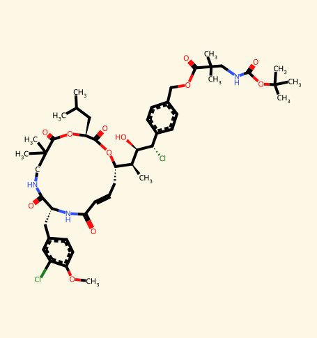 COc1ccc(C[C@H]2NC(=O)/C=C/C[C@@H]([C@H](C)[C@@H](O)[C@@H](Cl)c3ccc(COC(=O)C(C)(C)CNC(=O)OC(C)(C)C)cc3)OC(=O)[C@H](CC(C)C)OC(=O)C(C)(C)CNC2=O)cc1Cl